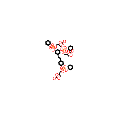 O=C1OCC(COP(=O)(Oc2ccccc2)Oc2ccc(/C=C/c3cc(OP(=O)(OCC4COC(=O)O4)Oc4ccccc4)cc(OP(=O)(OCC4COC(=O)O4)Oc4ccccc4)c3)cc2)O1